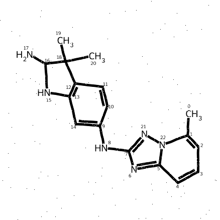 Cc1cccc2nc(Nc3ccc4c(c3)NC(N)C4(C)C)nn12